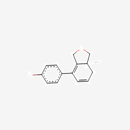 Brc1ccc(C2=C3COC[C@H]3CC=C2)cc1